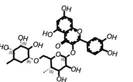 CC1C[C@@H](OCC2O[C@@H](Oc3c(-c4ccc(O)c(O)c4)oc4cc(O)cc(O)c4c3=O)C(O)C(O)[C@@H]2C)C(O)[C@@H](O)[C@H]1O